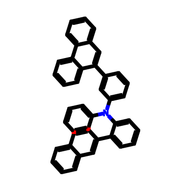 c1ccc(N(c2cccc(-c3cc4ccccc4c4ccccc34)c2)c2ccccc2-c2ccc3ccccc3c2)cc1